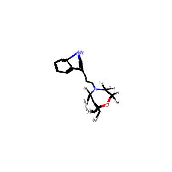 [2H]C1([2H])OC([2H])([2H])C([2H])([2H])N(CCc2c[nH]c3ccccc23)C1([2H])[2H]